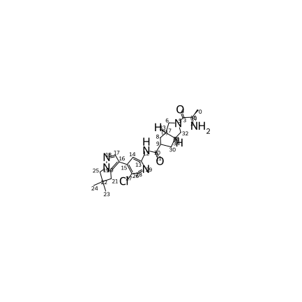 C[C@@H](N)C(=O)N1C[C@H]2CC(C(=O)Nc3cc(-c4cnn5c4CC(C)(C)C5)c(Cl)cn3)C[C@H]2C1